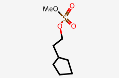 COS(=O)(=O)OCCC1CCCC1